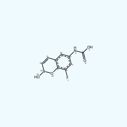 O=C(O)Nc1cc(F)c2c(c1)C=CB(O)O2